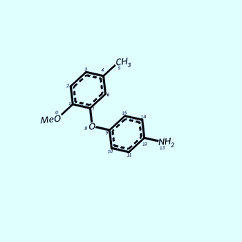 COc1ccc(C)cc1Oc1ccc(N)cc1